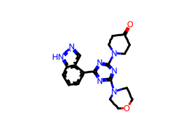 O=C1CCN(c2nc(-c3cccc4[nH]ncc34)nc(N3CCOCC3)n2)CC1